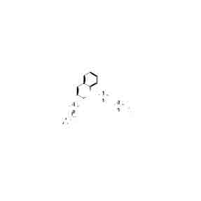 C1=Cc2ccccc2OC1.[Al+3].[Al+3].[Al+3].[Al+3].[O-][Si]([O-])([O-])[O-].[O-][Si]([O-])([O-])[O-].[O-][Si]([O-])([O-])[O-]